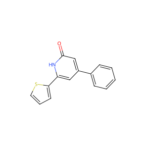 O=c1cc(-c2ccccc2)cc(-c2cccs2)[nH]1